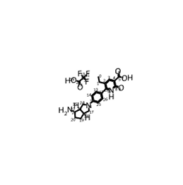 CCc1cc(C(=O)O)c(=O)[nH]c1-c1ccc(N2C[C@H]3CC[C@@H](N)[C@H]3C2)cc1.O=C(O)C(F)(F)F